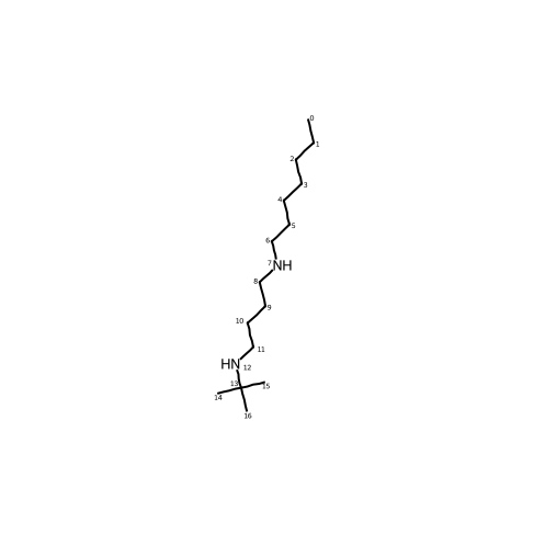 CCCCCCCNCCCCNC(C)(C)C